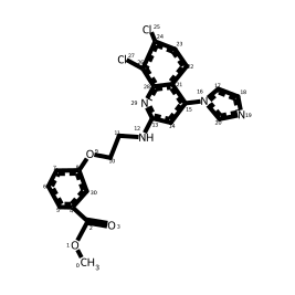 COC(=O)c1cccc(OCCNc2cc(-n3ccnc3)c3ccc(Cl)c(Cl)c3n2)c1